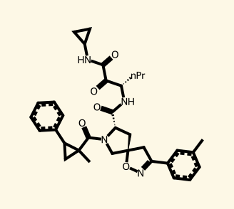 CCC[C@H](NC(=O)[C@@H]1C[C@]2(CC(c3cccc(C)c3)=NO2)CN1C(=O)C1(C)CC1c1ccccc1)C(=O)C(=O)NC1CC1